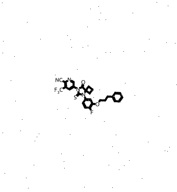 N#Cc1ncc(N2C(=O)C3(CCC3)N(c3ccc(F)c(OCCCc4ccccc4)c3)C2=S)cc1C(F)(F)F